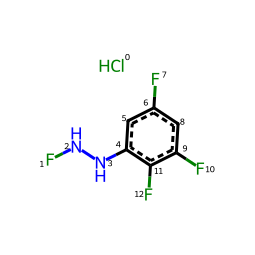 Cl.FNNc1cc(F)cc(F)c1F